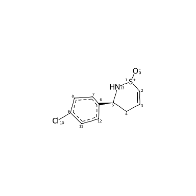 [O-][S+]1C=CC[C@@H](c2ccc(Cl)cc2)N1